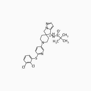 CC(C)(C)[S+]([O-])N[C@@H]1c2ccnn2CC12CCN(c1ccc(Sc3cccc(Cl)c3Cl)nc1)CC2